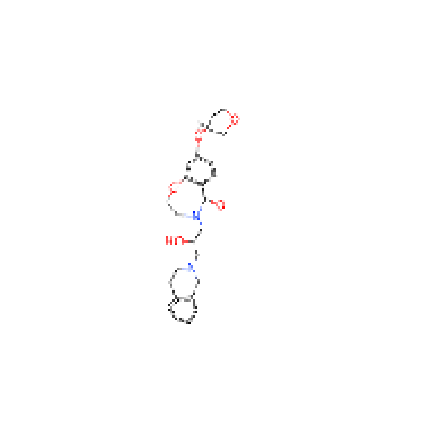 O=C1c2ccc(O[C@H]3CCOC3)cc2OCCN1CC(O)CN1CCc2ccccc2C1